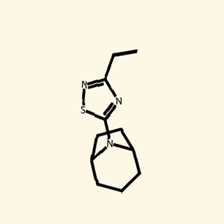 CCc1nsc(N2C3C[CH]CC2CC3)n1